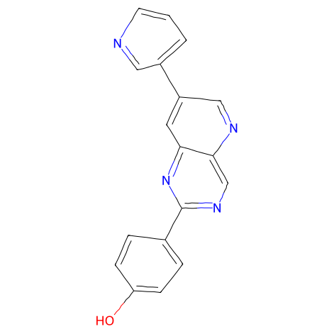 Oc1ccc(-c2ncc3ncc(-c4cccnc4)cc3n2)cc1